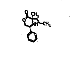 CCC[C@@]1(C)N[C@H](c2ccccc2)COC1=O